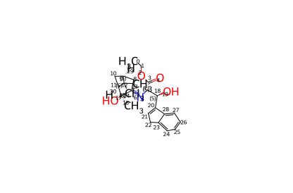 CCOC(=O)[C@@H](/N=C1\C[C@@H]2C[C@@H](C2(C)C)[C@]1(C)O)[C@@H](O)C1=CCc2ccccc21